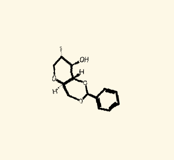 C[C@H]1CO[C@@H]2COC(c3ccccc3)O[C@H]2[C@@H]1O